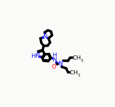 CCCCN(CCCC)C(=O)Nc1ccc2[nH]cc(C3CCC4CCCCN4CC3)c2c1